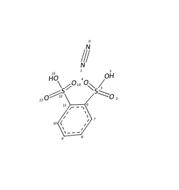 N#N.O=S(=O)(O)c1ccccc1S(=O)(=O)O